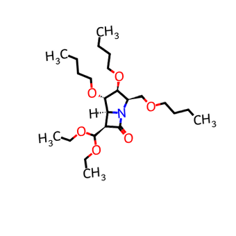 CCCCOC[C@@H]1[C@H](OCCCC)[C@@H](OCCCC)[C@@H]2[C@H](C(OCC)OCC)C(=O)N21